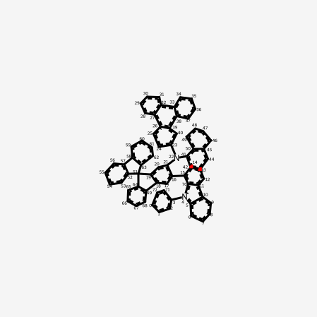 c1ccc(-n2c3ccccc3c3cccc(-c4cc5c(cc4N(c4ccc6c7ccccc7c7ccccc7c6c4)c4cccc6ccccc46)C4(c6ccccc6-c6ccccc64)c4ccccc4-5)c32)cc1